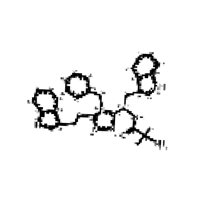 CC(C)(N)C(=O)N[C@H](Cc1c[nH]c2ccccc12)c1nnc(CCc2c[nH]c3ccccc23)n1Cc1ccccc1